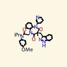 COc1ccc(N(C(=O)CN2C(=O)C(C)(Cc3n[nH]c4ccccc34)C(=O)N(c3cccnc3)c3ccccc32)C(C)C)cc1